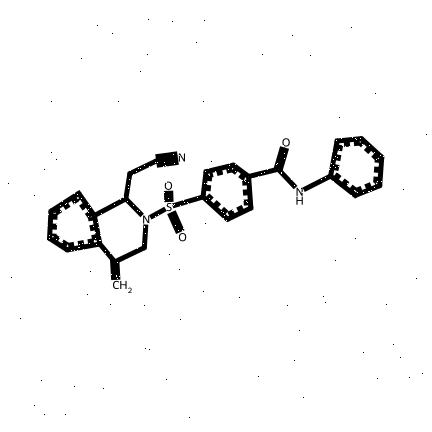 C=C1CN(S(=O)(=O)c2ccc(C(=O)Nc3[c]cccc3)cc2)C(CC#N)c2ccccc21